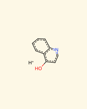 Oc1ccnc2ccccc12.[H+]